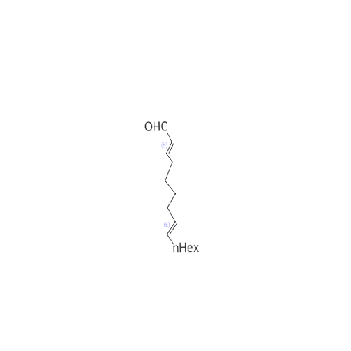 CCCCCC/C=C/CCCC/C=C/C=O